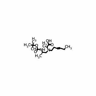 CCC#CCCN(C[C@@H](C)NC(=O)OC(C)(C)C)[C@@H](C)C(=O)O